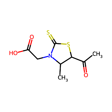 CC(=O)C1SC(=S)N(CC(=O)O)C1C